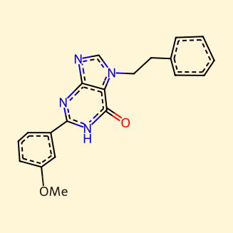 COc1cccc(-c2nc3ncn(CCc4ccccc4)c3c(=O)[nH]2)c1